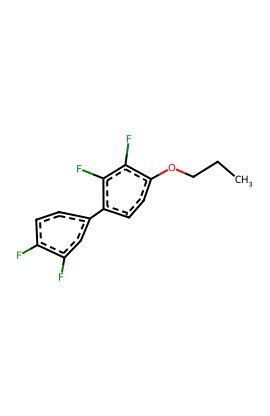 CCCOc1ccc(-c2ccc(F)c(F)c2)c(F)c1F